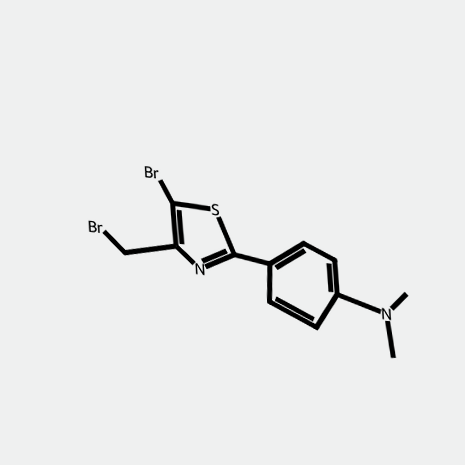 CN(C)c1ccc(-c2nc(CBr)c(Br)s2)cc1